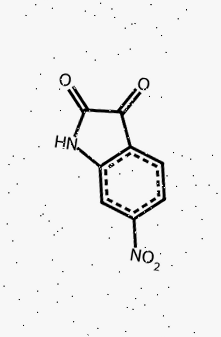 O=C1Nc2cc([N+](=O)[O-])ccc2C1=O